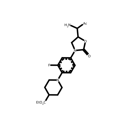 CCOC(=O)C1CCN(c2ccc(N3CC(C(N)C(C)=O)OC3=O)cc2F)CC1